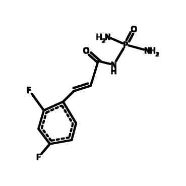 NP(N)(=O)NC(=O)C=Cc1ccc(F)cc1F